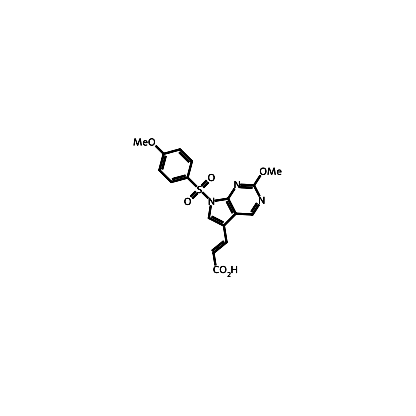 COc1ccc(S(=O)(=O)n2cc(/C=C/C(=O)O)c3cnc(OC)nc32)cc1